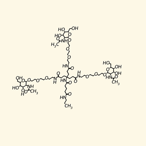 CCCNC(=O)CCCC(=O)NC(CCC(=O)NCCOCCOCCOC1OC(CO)C(O)C(O)C1NC(C)=O)(CCC(=O)NCCOCCOCCOC1OC(CO)C(O)C(O)C1NC(C)=O)CCC(=O)NCCOCCOCCOC1OC(CO)C(O)C(O)C1NC(C)=O